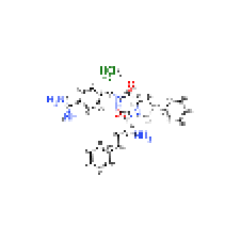 Cl.Cl.N=C(N)c1ccc(CNC(=O)[C@@H]2CC(c3ccccc3)CN2C(=O)[C@H](N)CCc2ccccc2)cc1